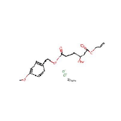 C=CCOC(=O)C(O)CCC(=O)OCc1ccc(OC)cc1.[Cl-].[Cl-].[Zn+2]